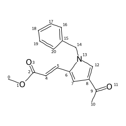 COC(=O)/C=C/c1cc(C(C)=O)cn1Cc1ccccc1